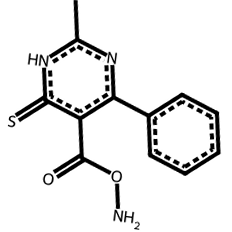 Cc1nc(-c2ccccc2)c(C(=O)ON)c(=S)[nH]1